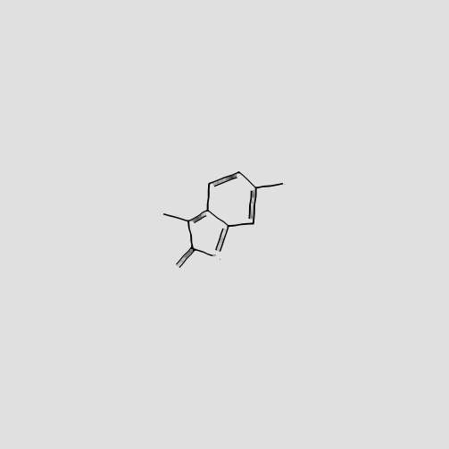 O=C1N=c2cc(Br)ccc2=C1Cl